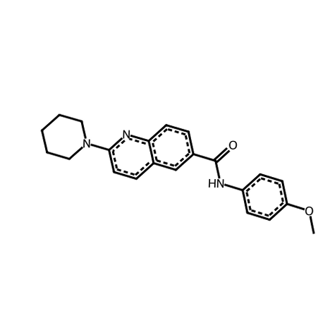 COc1ccc(NC(=O)c2ccc3nc(N4CCCCC4)ccc3c2)cc1